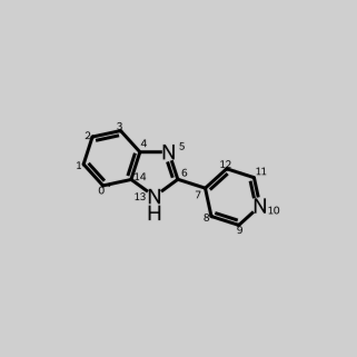 [c]1cccc2nc(-c3ccncc3)[nH]c12